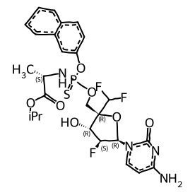 CC(C)OC(=O)[C@H](C)NP(=S)(OC[C@@]1(C(F)F)O[C@@H](n2ccc(N)nc2=O)[C@@H](F)[C@@H]1O)Oc1ccc2ccccc2c1